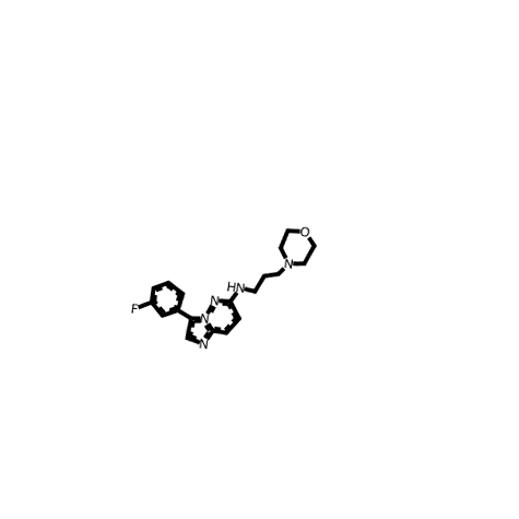 Fc1cccc(-c2cnc3ccc(NCCCN4CCOCC4)nn23)c1